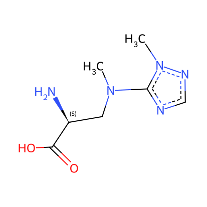 CN(C[C@H](N)C(=O)O)c1ncnn1C